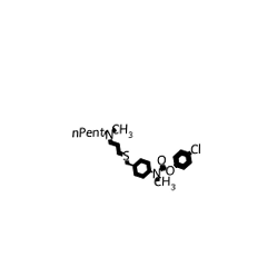 CCCCCN(C)CCCSC[C@H]1CC[C@H](N(C)C(=O)Oc2ccc(Cl)cc2)CC1